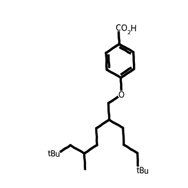 CC(CCC(CCCC(C)(C)C)COc1ccc(C(=O)O)cc1)CC(C)(C)C